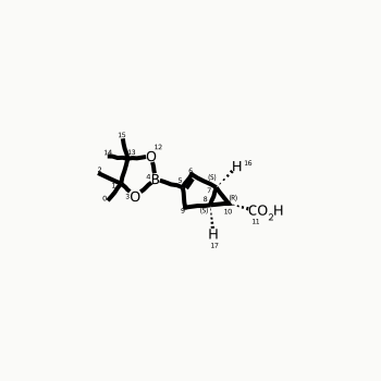 CC1(C)OB(C2=C[C@@H]3[C@H](C2)[C@H]3C(=O)O)OC1(C)C